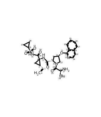 C=C[C@@H]1C[C@]1(NC(=O)[C@@H]1C[C@@H](Oc2nccc3ccccc23)CN1C(=O)[C@@H](N)C(C)(C)C)C(=O)NS(=O)(=O)C1CC1